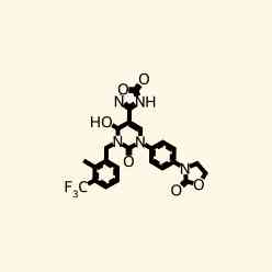 Cc1c(CN2C(=O)N(c3ccc(N4CCOC4=O)cc3)C=C(c3noc(=O)[nH]3)C2O)cccc1C(F)(F)F